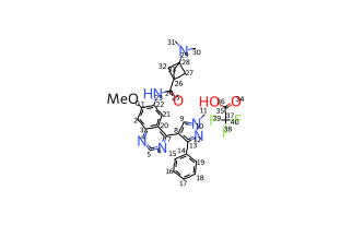 COc1cc2ncnc(-c3cn(C)nc3-c3ccccc3)c2cc1NC(=O)C12CC(N(C)C)(C1)C2.O=C(O)C(F)(F)F